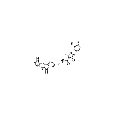 Cc1c(C(=O)NC/C=C/c2ccc3c(c2)NC(=O)C3=Cc2ncc[nH]2)c(=O)n(Cc2ccc(F)c(F)c2)n1C